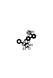 CCn1c(=O)[nH]c(=O)c2c1nc(C1CCCCC1)n2Cc1ccc(-c2ccccc2-c2nnn[nH]2)cc1